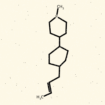 C/C=C/CC1CCC(C2CCP(C)CC2)CC1